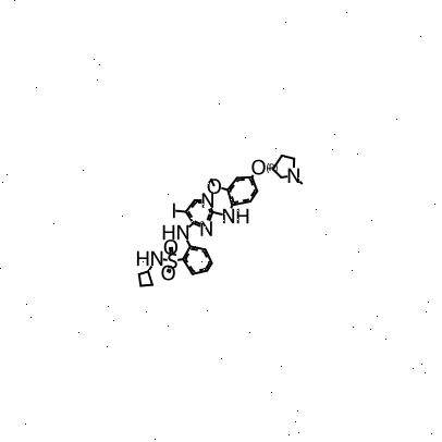 COc1cc(O[C@@H]2CCN(C)C2)ccc1Nc1ncc(I)c(Nc2ccccc2S(=O)(=O)NC2CCC2)n1